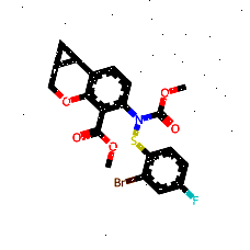 COC(=O)c1c(N(Sc2ccc(F)cc2Br)C(=O)OC)ccc2c1OCC1CC21